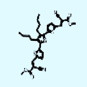 CCCCc1c(-c2ccc(/C=C(\C#N)C(=O)OC)s2)sc(-c2ccc(/C=C(\C#N)C(=O)OC)s2)c1CCCC